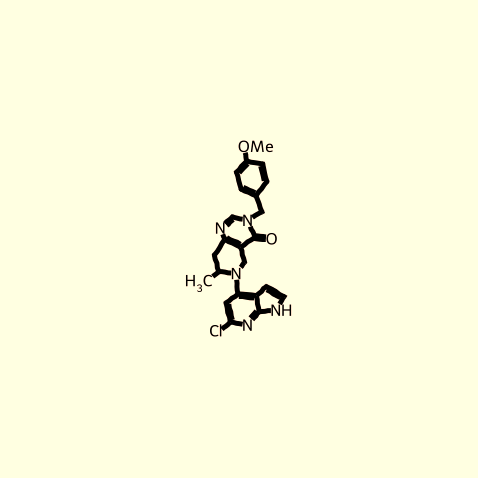 COc1ccc(Cn2cnc3c(c2=O)CN(c2cc(Cl)nc4[nH]ccc24)C(C)C3)cc1